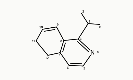 CC(C)c1nccc2c1C=CCC2